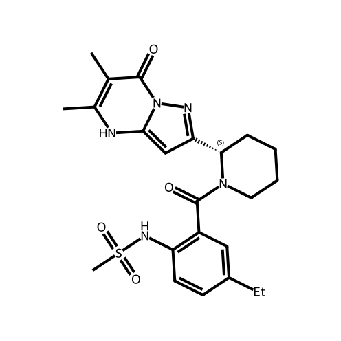 CCc1ccc(NS(C)(=O)=O)c(C(=O)N2CCCC[C@H]2c2cc3[nH]c(C)c(C)c(=O)n3n2)c1